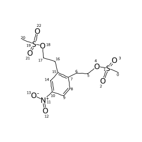 CS(=O)(=O)OCCc1ccc([N+](=O)[O-])cc1CCOS(C)(=O)=O